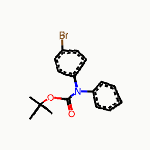 CC(C)(C)OC(=O)N(c1ccccc1)c1ccc(Br)cc1